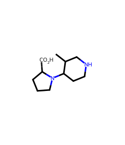 CC1CNCCC1N1CCCC1C(=O)O